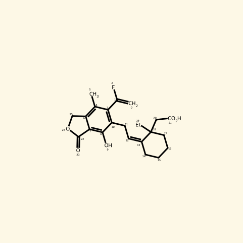 C=C(F)c1c(C)c2c(c(O)c1CC=C1CCCCC1(CC)CC(=O)O)C(=O)OC2